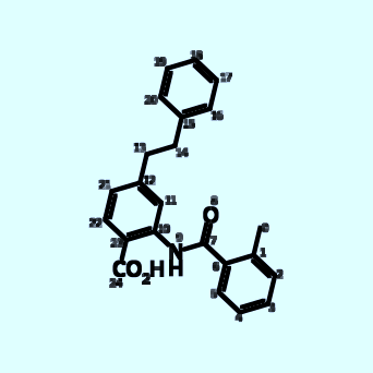 Cc1ccccc1C(=O)Nc1cc(CCc2ccccc2)ccc1C(=O)O